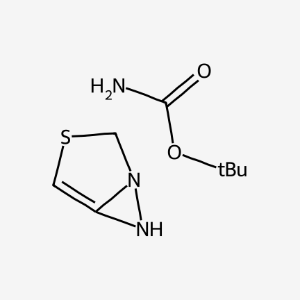 C1=C2NN2CS1.CC(C)(C)OC(N)=O